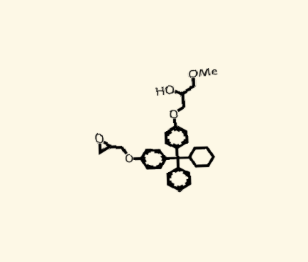 COCC(O)COc1ccc(C(c2ccccc2)(c2ccc(OCC3CO3)cc2)C2CCCCC2)cc1